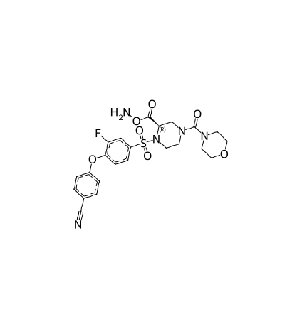 N#Cc1ccc(Oc2ccc(S(=O)(=O)N3CCN(C(=O)N4CCOCC4)C[C@@H]3C(=O)ON)cc2F)cc1